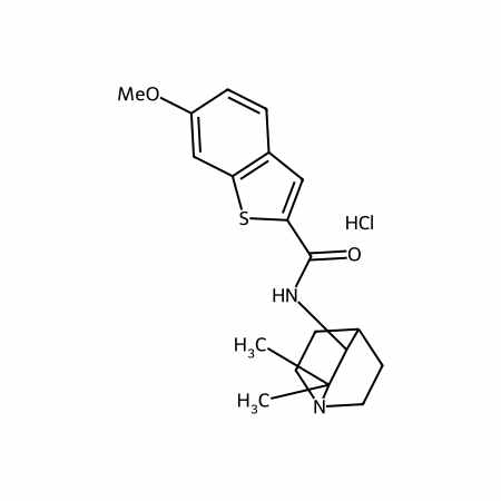 COc1ccc2cc(C(=O)NC3C4CCN(CC4)C3(C)C)sc2c1.Cl